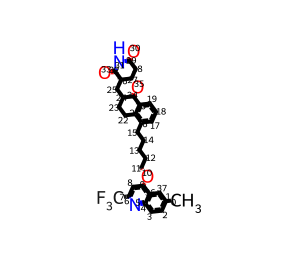 Cc1ccc2nc(C(F)(F)F)cc(OCCCCCc3cccc4c3CCC(CC3CCC(=O)NC3=O)C4=O)c2c1